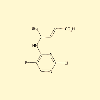 CC(C)(C)C(C=CC(=O)O)Nc1nc(Cl)ncc1F